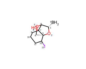 B[C@@H]1O[C@]23COC1C2(O)CCCC3I